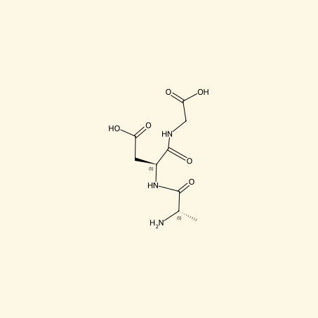 C[C@H](N)C(=O)N[C@@H](CC(=O)O)C(=O)NCC(=O)O